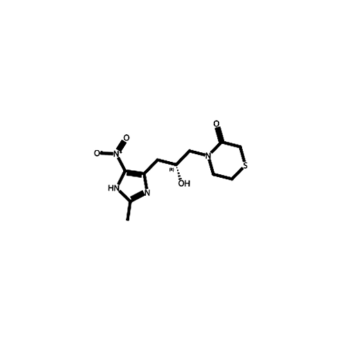 Cc1nc(C[C@@H](O)CN2CCSCC2=O)c([N+](=O)[O-])[nH]1